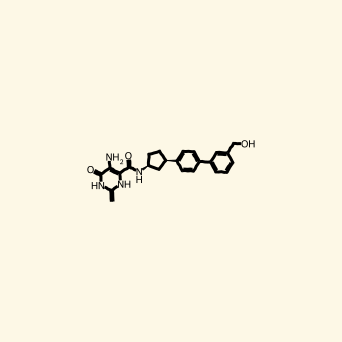 C=C1NC(=O)C(N)=C(C(=O)N[C@H]2CC[C@@H](c3ccc(-c4cccc(CO)c4)cc3)C2)N1